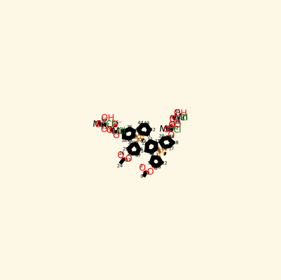 CC(=O)Oc1ccc([P+](C)(c2ccccc2)c2ccccc2)cc1.CC(=O)Oc1ccc([P+](C)(c2ccccc2)c2ccccc2)cc1.[O]=[Mn](=[O])([O-])[Cl].[O]=[Mn](=[O])([O-])[Cl].[O]=[Mn](=[O])([OH])[Cl].[O]=[Mn](=[O])([OH])[Cl]